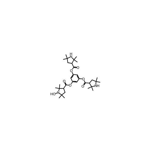 CC1(C)CC(C(=O)Oc2cc(OC(=O)C3CC(C)(C)NC3(C)C)cc(OC(=O)C3CC(C)(C)N(O)C3(C)C)c2)C(C)(C)N1